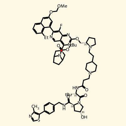 CCc1cccc2cc(OCOC)cc(-c3ncc4c(N5CC6CCC(C5)N6C(=O)OC(C)(C)C)nc(OC[C@@H]5CCCN5CCC5CCN(CCC(=O)N[C@H](C(=O)N6C[C@H](O)C[C@H]6C(=O)NCc6ccc(-c7scnc7C)cc6)C(C)(C)C)CC5)nc4c3F)c12